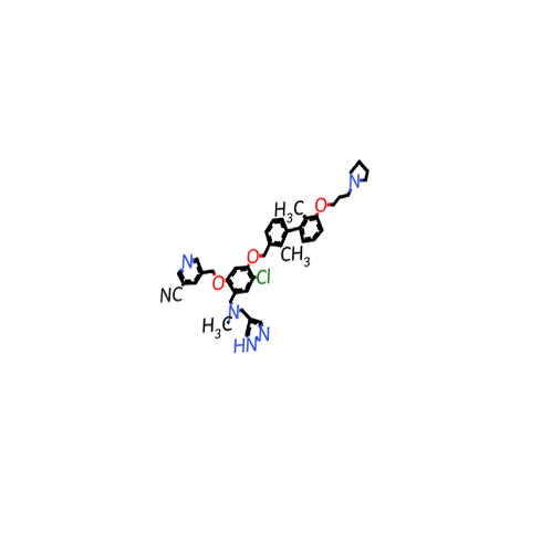 Cc1c(COc2cc(OCc3cncc(C#N)c3)c(CN(C)Cc3cn[nH]c3)cc2Cl)cccc1-c1cccc(OCCCN2CCCC2)c1C